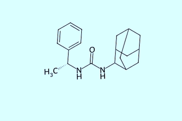 C[C@@H](NC(=O)NC1C2CC3CC(C2)CC1C3)c1ccccc1